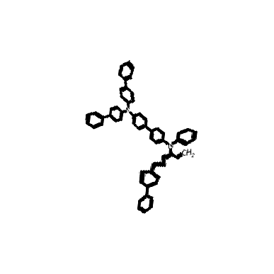 C=C/C(=C\C=C\c1ccc(-c2ccccc2)cc1)N(c1ccccc1)c1ccc(-c2ccc(N(c3ccc(-c4ccccc4)cc3)c3ccc(-c4ccccc4)cc3)cc2)cc1